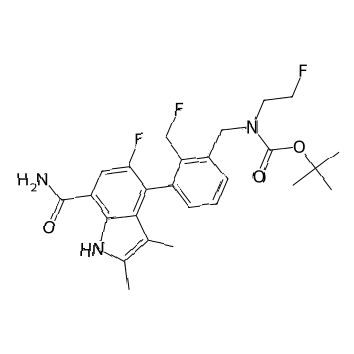 Cc1[nH]c2c(C(N)=O)cc(F)c(-c3cccc(CN(CCF)C(=O)OC(C)(C)C)c3CF)c2c1C